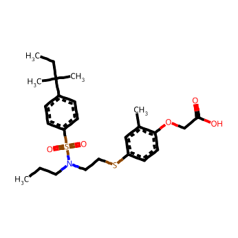 CCCN(CCSc1ccc(OCC(=O)O)c(C)c1)S(=O)(=O)c1ccc(C(C)(C)CC)cc1